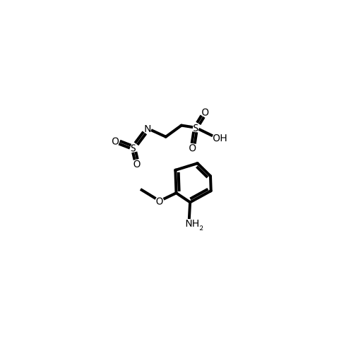 COc1ccccc1N.O=S(=O)=NCCS(=O)(=O)O